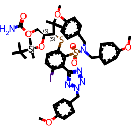 COc1ccc(CN(Cc2ccc(OC)cc2)S(=O)(=O)c2c(S[C@H]([C@H](COC(N)=O)O[Si](C)(C)C(C)(C)C)C(C)(C)C)ccc(I)c2-c2nnn(Cc3ccc(OC)cc3)n2)cc1